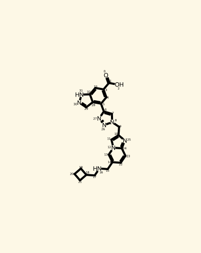 O=C(O)c1cc(-c2cn(Cc3cn4cc(CNCC5CCC5)ccc4n3)nn2)c2cn[nH]c2c1